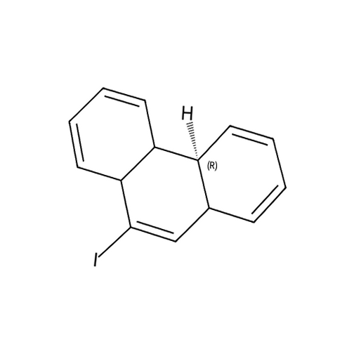 IC1=CC2C=CC=C[C@@H]2C2C=CC=CC12